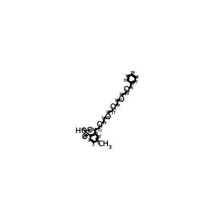 Cc1ccc(S(=O)(=O)O)c(CCOCCOCCOCCOCCOCc2ccccc2)c1